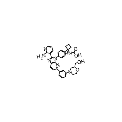 Nc1ncccc1-c1nc2ccc(-c3cccc(N4CCO[C@H](CO)C4)c3)nc2n1-c1ccc(C2(NC(=O)O)CCC2)cc1